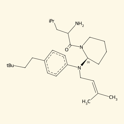 CC(C)=CCN(c1ccc(CCC(C)(C)C)cc1)[C@@H]1CCCCN1C(=O)C(N)CC(C)C